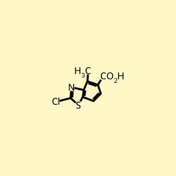 Cc1c(C(=O)O)ccc2sc(Cl)nc12